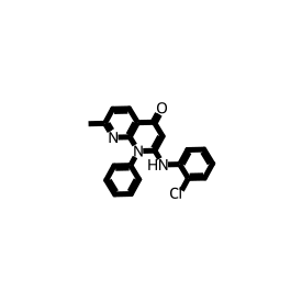 Cc1ccc2c(=O)cc(Nc3ccccc3Cl)n(-c3ccccc3)c2n1